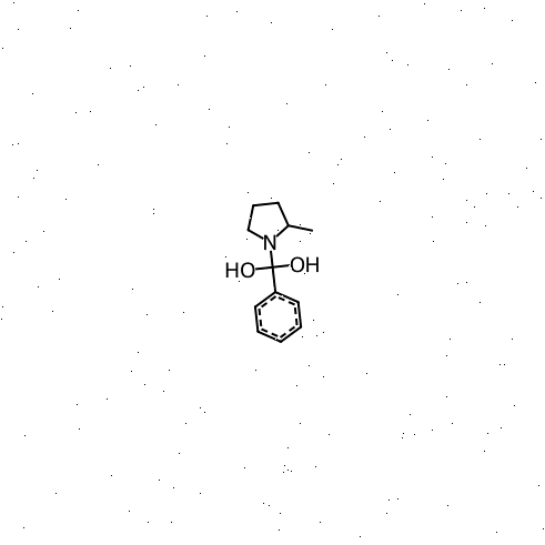 CC1CCCN1C(O)(O)c1ccccc1